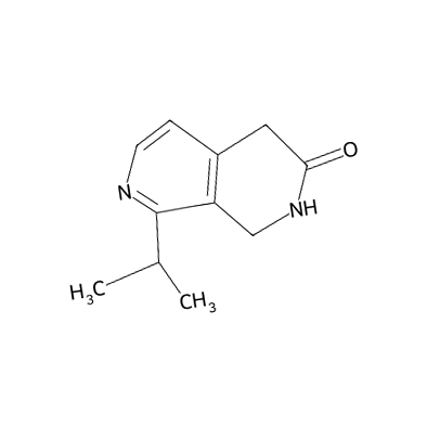 CC(C)c1nccc2c1CNC(=O)C2